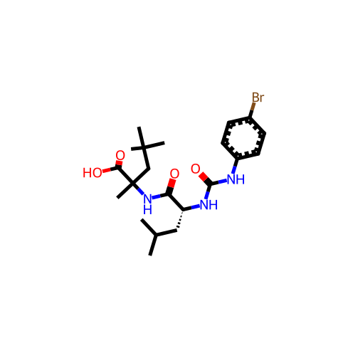 CC(C)C[C@@H](NC(=O)Nc1ccc(Br)cc1)C(=O)NC(C)(CC(C)(C)C)C(=O)O